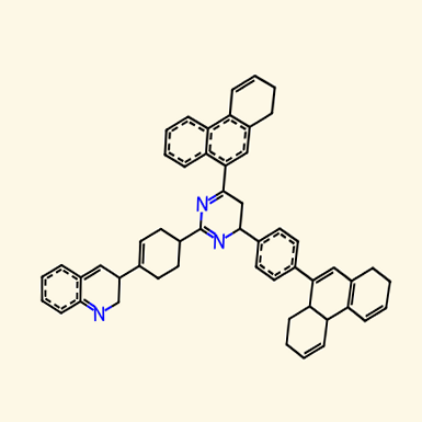 C1=CC2=C(C=C(c3ccc(C4CC(c5cc6c(c7ccccc57)C=CCC6)=NC(C5CC=C(C6C=c7ccccc7=NC6)CC5)=N4)cc3)C3CCC=CC23)CC1